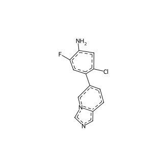 Nc1cc(Cl)c(-c2ccc3cncn3c2)cc1F